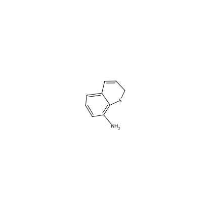 Nc1cccc2c1SCC=C2